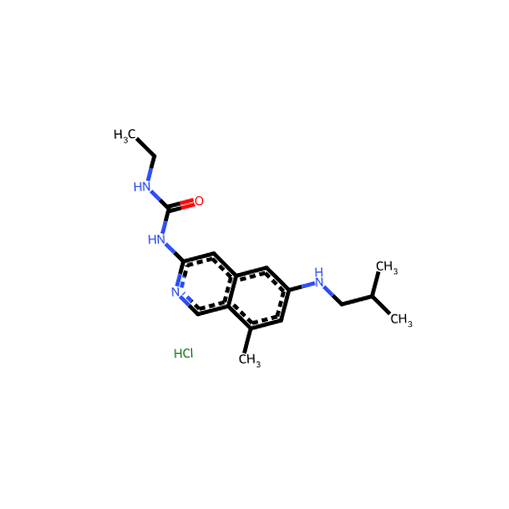 CCNC(=O)Nc1cc2cc(NCC(C)C)cc(C)c2cn1.Cl